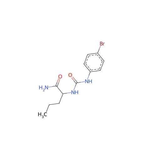 CCCC(NC(=O)Nc1ccc(Br)cc1)C(N)=O